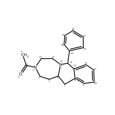 CC(=O)N1CCC2Cc3ccccc3C(c3ccccc3)N2CC1